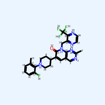 Cc1ncc2cc(C3CCN(c4c(C)cccc4F)CC3)c(=O)n(Cc3nccnc3C(F)(F)F)c2n1